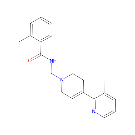 Cc1ccccc1C(=O)NCN1CC=C(c2ncccc2C)CC1